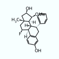 CO[C@H]1[C@H]2[C@H]3[C@@H](c4ccc(O)cc4C[C@H]3c3ccccc3)[C@@H](F)C[C@]2(C)C[C@H]1O